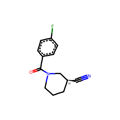 N#C[C@H]1CCCN(C(=O)c2ccc(F)cc2)C1